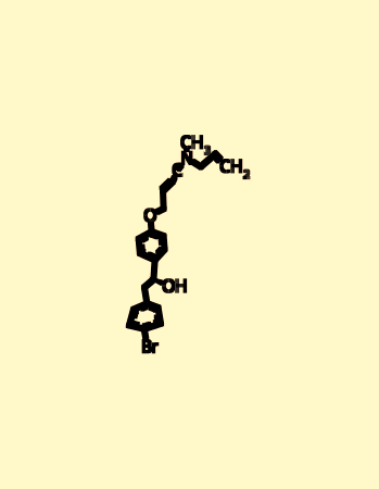 C=CCN(C)C/C=C/COc1ccc([C@@H](O)Cc2ccc(Br)cc2)cc1